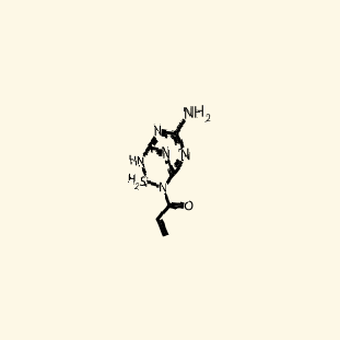 C=CC(=O)N1[SiH2]Nc2nc(N)nc1n2